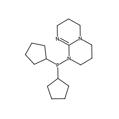 C1CCC(P(C2CCCC2)N2CCCN3CCCN=C32)C1